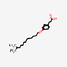 CC(C)CCCCCCCCCCOc1ccc(CCC(=O)O)cc1